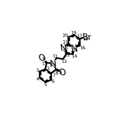 O=C1c2ccccc2C(=O)N1CCc1cn2cc(Br)ccc2n1